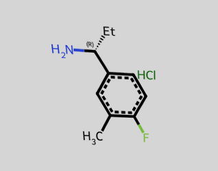 CC[C@@H](N)c1ccc(F)c(C)c1.Cl